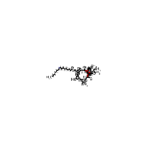 CCCCCCCC/C=C\CCCCCCCC(=O)OCC(O)C(C)C1NC(=O)C2CC(O)CN2C(=O)C(CC(N)=O)NC(=O)C2C[S+]([O-])c3[nH]c4cc(OC)ccc4c3CC(NC1=O)C(=O)NCC(=O)NC(C(C)CC)C(=O)NCC(=O)N2